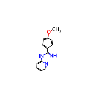 COc1ccc(C(=N)Nc2ccccn2)cc1